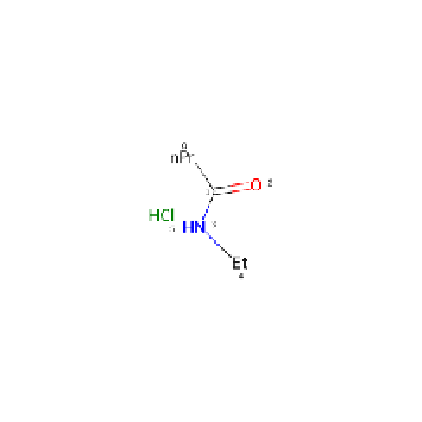 CCCC(=O)NCC.Cl